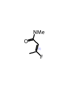 CNC(=O)/C=C(\C)F